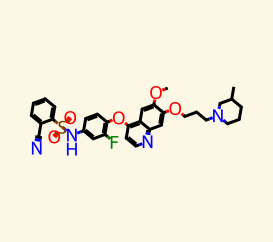 COc1cc2c(Oc3ccc(NS(=O)(=O)c4ccccc4C#N)cc3F)ccnc2cc1OCCCN1CCCC(C)C1